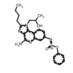 CCCCc1nc2c(N)nc3cc(N=[SH](=O)Oc4ccccc4)ccc3c2n1CC(C)O